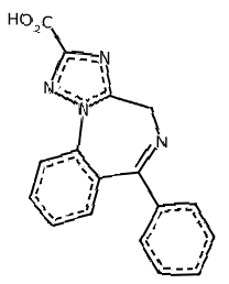 O=C(O)c1nc2n(n1)-c1ccccc1C(c1ccccc1)=NC2